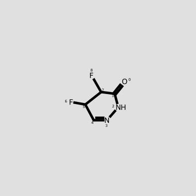 O=C1NN=CC(F)C1F